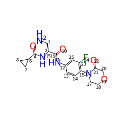 NC[C@H](NC(=O)C1CC1)C(=O)Nc1ccc(N2CCOCC2=O)c(F)c1